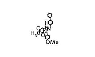 COc1ccc(Cn2c(N/N=C\c3ccc(-c4ccccc4)cc3)cc(=O)n(C)c2=O)cc1